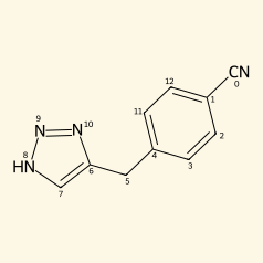 N#Cc1ccc(Cc2c[nH]nn2)cc1